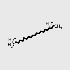 CC(C)CCCCCCC[CH]CCCCCCCCCC(C)C